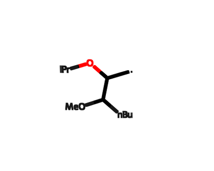 [CH2]C(OC(C)C)C(CCCC)OC